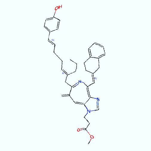 C=C1C=c2c(ncn2CCC(=O)OC)=C(/C=C2\CCc3ccccc3C2)N=C1C/C(=C/CC/C=C/c1ccc(O)cc1)CCC